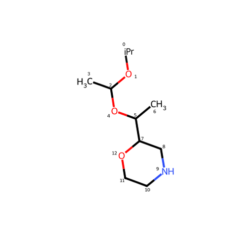 CC(C)OC(C)OC(C)C1CNCCO1